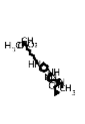 CON(C)C(=O)CCCCCCN[C@H]1CC[C@H](Nc2ncc(Cl)c(-c3cnn(C)c3CC3CC3)n2)CC1